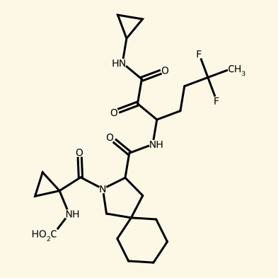 CC(F)(F)CCC(NC(=O)C1CC2(CCCCC2)CN1C(=O)C1(NC(=O)O)CC1)C(=O)C(=O)NC1CC1